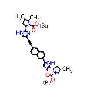 C[C@@H]1C[C@@H](c2ncc(-c3ccc4cc(C#Cc5c[nH]c([C@@H]6C[C@@H](C)[C@@H](C)N6C(=O)OC(C)(C)C)n5)ccc4c3)[nH]2)N(C(=O)OC(C)(C)C)C1